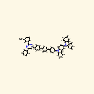 N#Cc1cccc(-c2nc(-c3ccccc3)cc(-c3ccc(-c4ccc(-c5ccc(-n6c7ccccc7c7cc(-n8c9ccccc9c9ccccc98)ccc76)cc5)cc4)cc3)n2)c1